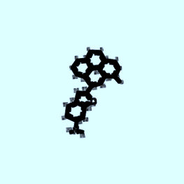 Cc1ccc2ccc3cccc4c(-c5cc6ccc(N(C)C)cc6o5)cc1c2c34